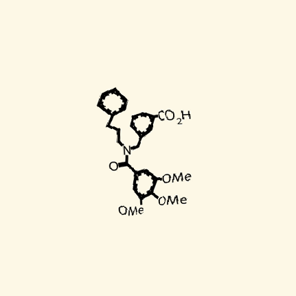 COc1cc(C(=O)N(CCCc2ccccc2)Cc2cccc(C(=O)O)c2)cc(OC)c1OC